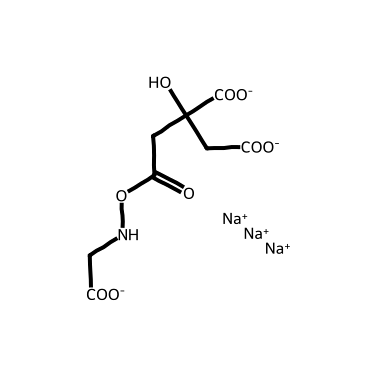 O=C([O-])CNOC(=O)CC(O)(CC(=O)[O-])C(=O)[O-].[Na+].[Na+].[Na+]